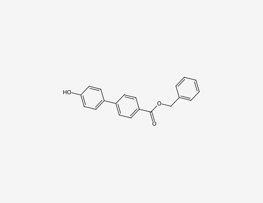 O=C(OCc1ccccc1)c1ccc(-c2ccc(O)cc2)cc1